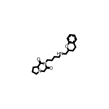 O=C1CN2CCCC2C(=O)N1CCCCNCC1CCc2ccccc2O1